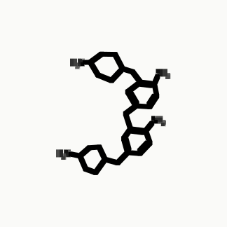 Nc1ccc(CC2CCC(N)CC2)cc1Cc1ccc(N)c(CC2CCC(N)CC2)c1